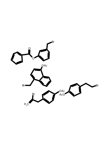 C=C(Br)Cc1ccc(OC(C)=O)cc1.CC(=O)Oc1ccc(CBr)c2ccccc12.CC(=O)Oc1ccc(CCBr)cc1.O=C(Oc1cccc(CBr)c1)c1ccccc1